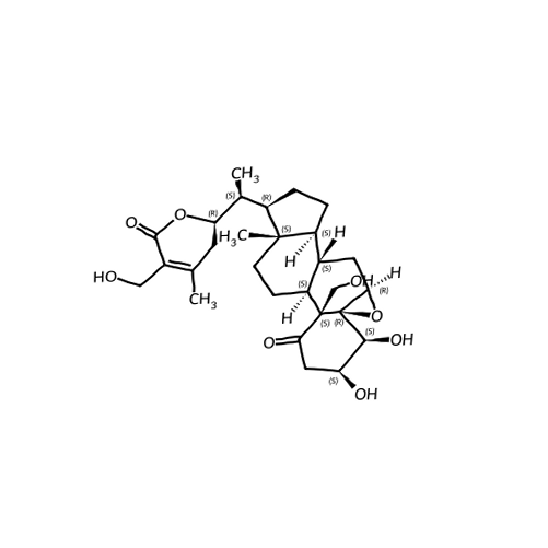 CC1=C(CO)C(=O)O[C@@H]([C@@H](C)[C@H]2CC[C@H]3[C@@H]4C[C@H]5O[C@]56[C@@H](O)[C@@H](O)CC(=O)[C@]6(CO)[C@H]4CC[C@]23C)C1